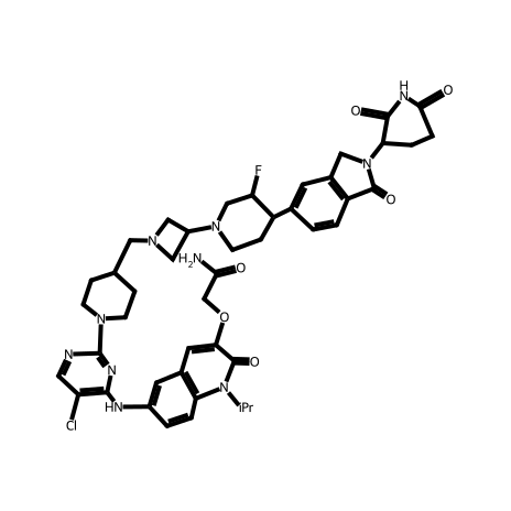 CC(C)n1c(=O)c(OCC(N)=O)cc2cc(Nc3nc(N4CCC(CN5CC(N6CCC(c7ccc8c(c7)CN(C7CCC(=O)NC7=O)C8=O)C(F)C6)C5)CC4)ncc3Cl)ccc21